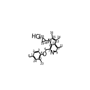 Cc1ccc(OCc2ncc(C)c3c(C)c(C)n(C4CC4)c23)c(C)c1.Cl